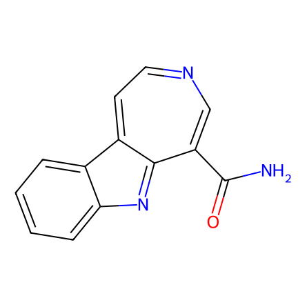 NC(=O)c1cnccc2c3ccccc3nc1-2